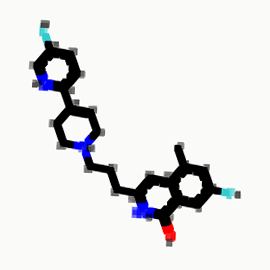 Cc1cc(F)cc2c(=O)[nH]c(CCCN3CC=C(c4ccc(F)cn4)CC3)cc12